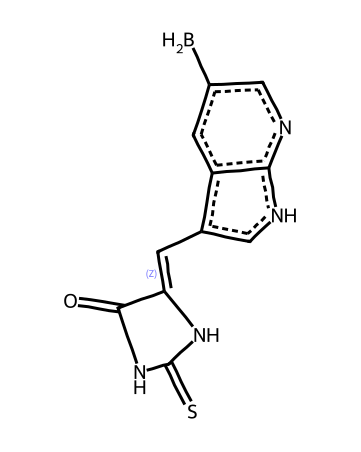 Bc1cnc2[nH]cc(/C=C3\NC(=S)NC3=O)c2c1